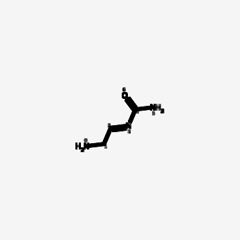 NCC=NC(N)=O